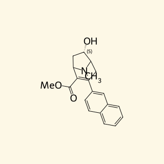 COC(=O)C1=C(c2ccc3ccccc3c2)CC2[C@@H](O)CC1N2C